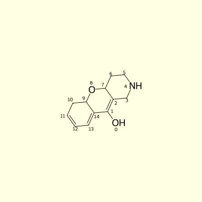 OC1=C2CNCCC2OC2CC=CC=C12